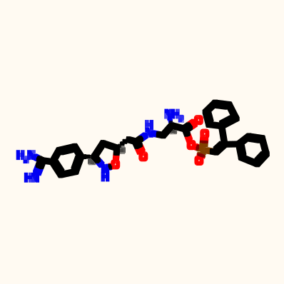 N=C(N)c1ccc([C@@H]2C[C@H](CC(=O)NC[C@H](N)C(=O)OS(=O)(=O)C=C(c3ccccc3)c3ccccc3)ON2)cc1